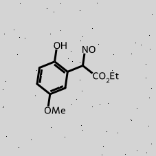 CCOC(=O)C(N=O)c1cc(OC)ccc1O